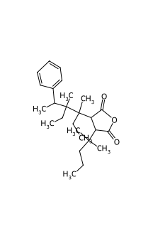 CCCC(C)(C)C1C(=O)OC(=O)C1C(C)(CC)C(C)(CC)C(C)c1ccccc1